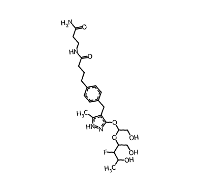 Cc1[nH]nc(OC(CO)OC(CO)C(F)C(C)O)c1Cc1ccc(CCCC(=O)NCCC(N)=O)cc1